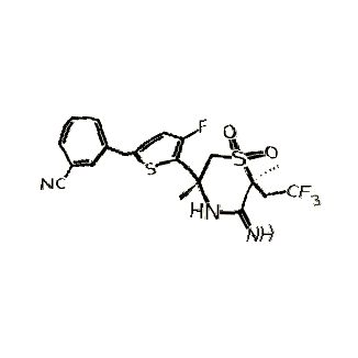 C[C@]1(CC(F)(F)F)C(=N)N[C@](C)(c2sc(-c3cccc(C#N)c3)cc2F)CS1(=O)=O